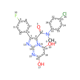 CN(C(=O)c1c(-c2ccc(F)cc2)nc2nc(O)cc(O)n12)c1ccc(Cl)cc1